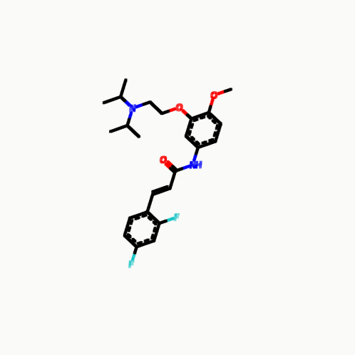 COc1ccc(NC(=O)C=Cc2ccc(F)cc2F)cc1OCCN(C(C)C)C(C)C